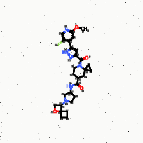 COc1cc(-c2cc(C(=O)N3CC[C@H](C(=O)N[C@H]4CCN([C@@H]5COC56CCC6)C4)CC34CC4)n[nH]2)c(F)cn1